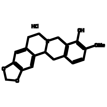 COc1ccc2c(c1O)CN1CCc3cc4c(cc3C1C2)OCO4.Cl